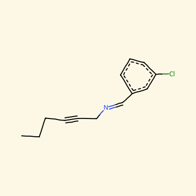 CCCC#CCN=Cc1cccc(Cl)c1